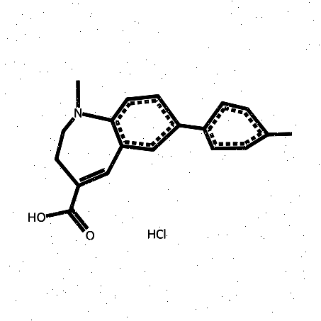 Cc1ccc(-c2ccc3c(c2)C=C(C(=O)O)CCN3C)cc1.Cl